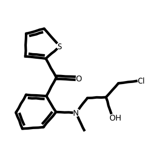 CN(CC(O)CCl)c1ccccc1C(=O)c1cccs1